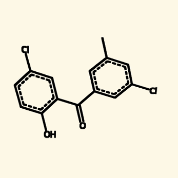 Cc1cc(Cl)cc(C(=O)c2cc(Cl)ccc2O)c1